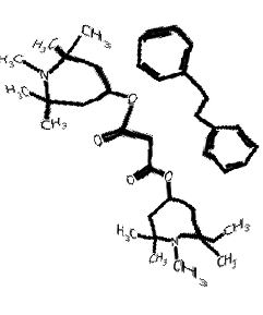 CN1C(C)(C)CC(OC(=O)CC(=O)OC2CC(C)(C)N(C)C(C)(C)C2)CC1(C)C.c1ccc(CCc2ccccc2)cc1